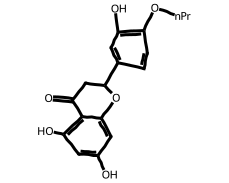 CCCOc1ccc(C2CC(=O)c3c(O)cc(O)cc3O2)cc1O